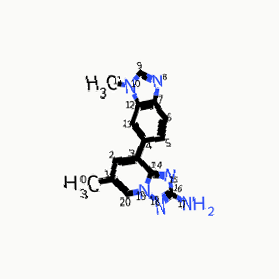 Cc1cc(-c2ccc3ncn(C)c3c2)c2nc(N)nn2c1